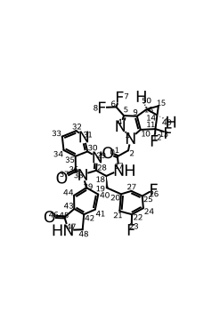 O=C(Cn1nc(C(F)F)c2c1C(F)(F)[C@@H]1C[C@H]21)N[C@@H](Cc1cc(F)cc(F)c1)c1nc2ncccc2c(=O)n1-c1ccc2c(c1)C(=O)NC2